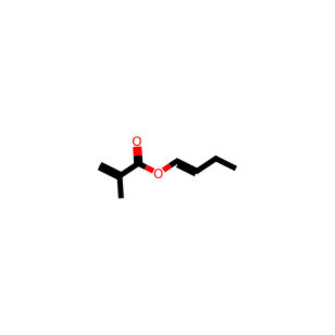 C=C(C)C(=O)OC=CCC